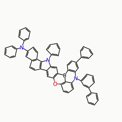 c1ccc(-c2cccc(N3c4cc(-c5ccccc5)ccc4B4c5cc6c(cc5Oc5cccc3c54)c3ccc4cc(N(c5ccccc5)c5ccccc5)ccc4c3n6-c3ccccc3)c2)cc1